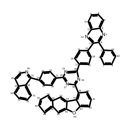 c1ccc(-c2nc3ccccc3nc2-c2ccc(-c3nc(-c4ccc(-c5nccc6ccccc56)cc4)nc(-c4cccc5oc6cc7ccccc7cc6c45)n3)cc2)cc1